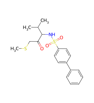 CSCC(=O)C(NS(=O)(=O)c1ccc(-c2ccccc2)cc1)C(C)C